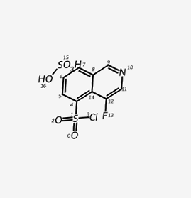 O=S(=O)(Cl)c1cccc2cncc(F)c12.O=S(=O)(O)O